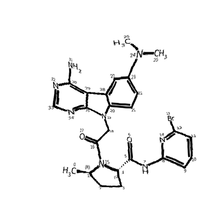 C[C@@H]1CC[C@@H](C(=O)Nc2cccc(Br)n2)N1C(=O)Cn1c2ccc(N(C)C)cc2c2c(N)ncnc21